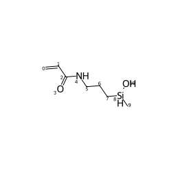 C=CC(=O)NCCC[SiH](C)O